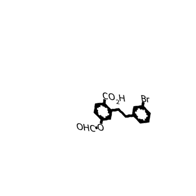 O=COc1ccc(C(=O)O)c(CCc2cccc(Br)c2)c1